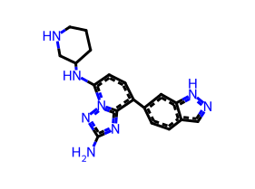 Nc1nc2c(-c3ccc4cn[nH]c4c3)ccc(NC3CCCNC3)n2n1